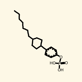 CCCCCCCC1CCC(c2ccc(OP(=O)(O)O)cc2)CC1